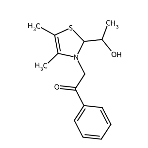 CC1=C(C)N(CC(=O)c2ccccc2)C(C(C)O)S1